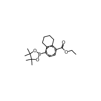 CCOC(=O)c1ccc(B2OC(C)(C)C(C)(C)O2)c2c1CCCC2